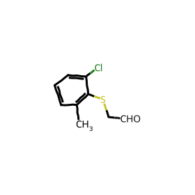 Cc1cccc(Cl)c1SCC=O